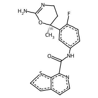 C[C@@]1(c2cc(NC(=O)c3nccc4ccsc34)ccc2F)CCN=C(N)O1